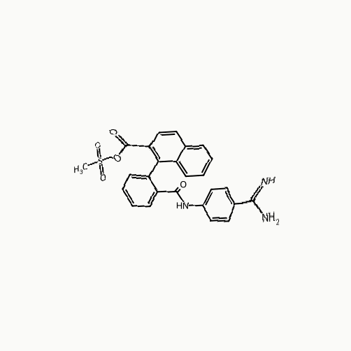 CS(=O)(=O)OC(=O)c1ccc2ccccc2c1-c1ccccc1C(=O)Nc1ccc(C(=N)N)cc1